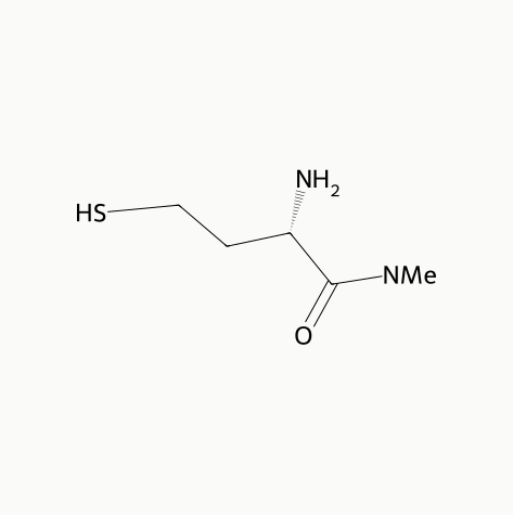 CNC(=O)[C@@H](N)CCS